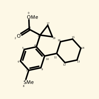 COC(=O)C1(c2ccc(SC)cc2C2CCCCC2)CC1